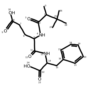 CC(C(=O)NC(CCC(=O)O)C(=O)NC(Cc1ccccc1)C(=O)O)C(C)(C)C